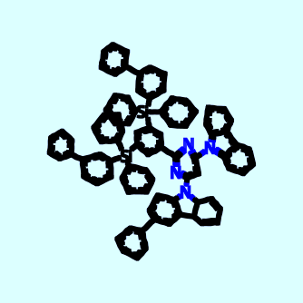 C1=CC2c3cc(-c4ccccc4)ccc3N(c3cc(-n4c5ccccc5c5ccccc54)nc(-c4cc([Si](c5ccccc5)(c5ccccc5)c5cccc(-c6ccccc6)c5)cc([Si](c5ccccc5)(c5ccccc5)c5cccc(-c6ccccc6)c5)c4)n3)C2C=C1